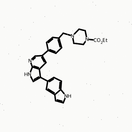 CCOC(=O)N1CCN(Cc2ccc(-c3cnc4[nH]cc(-c5ccc6[nH]ccc6c5)c4c3)cc2)CC1